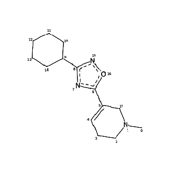 CN1CCC=C(c2nc(C3CCCCC3)no2)C1